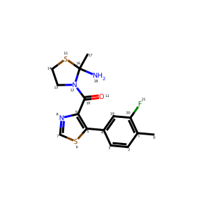 Cc1ccc(-c2scnc2C(=O)N2CCSC2(C)N)cc1F